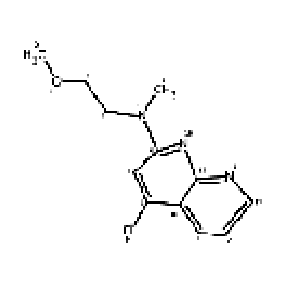 COCCN(C)c1cc(Cl)c2cccnc2n1